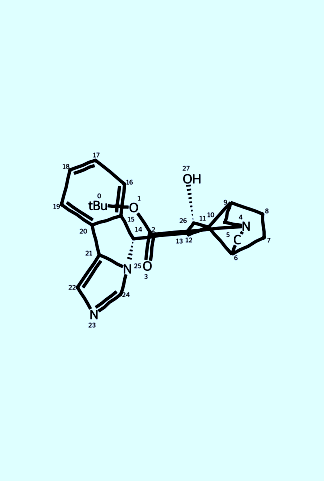 CC(C)(C)OC(=O)N1CC2CCC(C1)C21C[C@@H]([C@H]2c3ccccc3-c3cncn32)[C@@H]1O